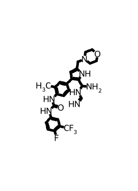 Cc1cc(-c2cc(CN3CCOCC3)[nH]c2C(N)NC=N)ccc1NC(=O)Nc1ccc(F)c(C(F)(F)F)c1